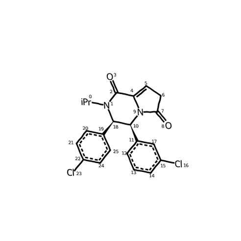 CC(C)N1C(=O)C2=CCC(=O)N2[C@@H](c2cccc(Cl)c2)[C@H]1c1ccc(Cl)cc1